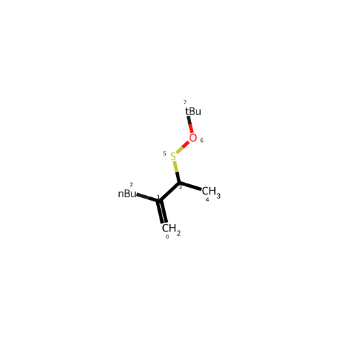 C=C(CCCC)C(C)SOC(C)(C)C